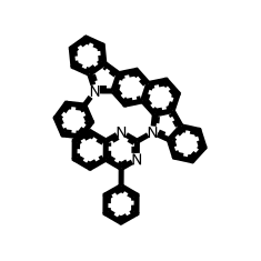 c1ccc(-c2nc(-n3c4ccccc4c4ccc5cc6c7ccccc7n(-c7ccccc7)c6cc5c43)nc3ccccc23)cc1